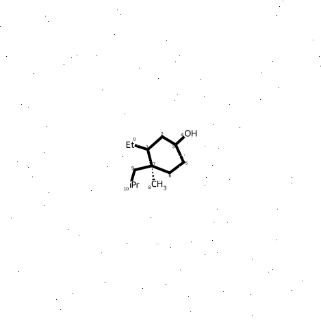 CCC1CC(O)CC[C@@]1(C)CC(C)C